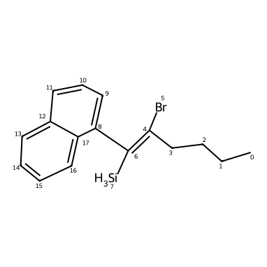 CCCCC(Br)=C([SiH3])c1cccc2ccccc12